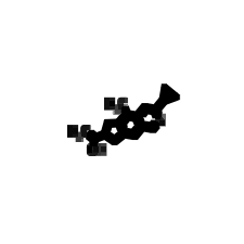 C=C(O)C1Cc2cc3cnc(C4CC4)cc3c(C)c2C1